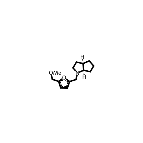 COCc1ccc(CN2CC[C@H]3CCC[C@H]32)o1